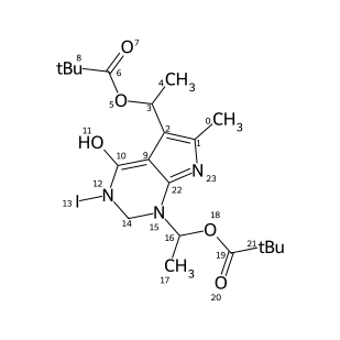 CC1=C(C(C)OC(=O)C(C)(C)C)C2=C(O)N(I)CN(C(C)OC(=O)C(C)(C)C)C2=N1